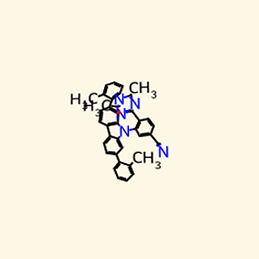 Cc1nc(C)nc(-c2ccc(C#N)cc2-n2c3cc(-c4ccccc4C)ccc3c3ccc(-c4ccccc4C)cc32)n1